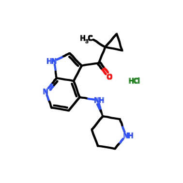 CC1(C(=O)c2c[nH]c3nccc(N[C@@H]4CCCNC4)c23)CC1.Cl